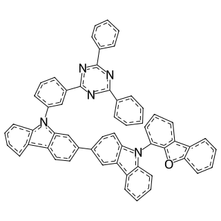 c1ccc(-c2nc(-c3ccccc3)nc(-c3cccc(-n4c5ccccc5c5ccc(-c6ccc7c(c6)c6ccccc6n7-c6cccc7c6oc6ccccc67)cc54)c3)n2)cc1